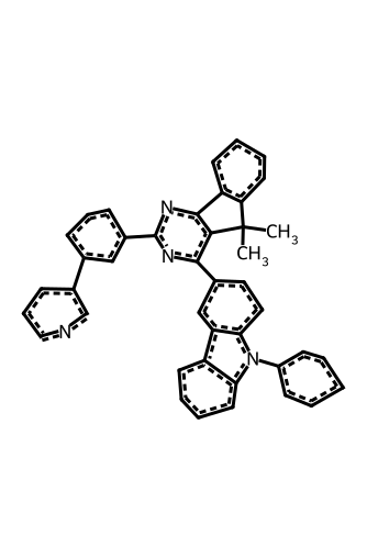 CC1(C)c2ccccc2-c2nc(-c3cccc(-c4cccnc4)c3)nc(-c3ccc4c(c3)c3ccccc3n4-c3ccccc3)c21